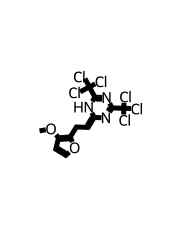 COc1ccoc1C/C=C1/N=C(C(Cl)(Cl)Cl)N=C(C(Cl)(Cl)Cl)N1